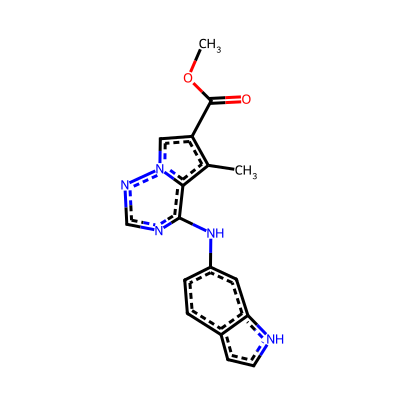 COC(=O)c1cn2ncnc(Nc3ccc4cc[nH]c4c3)c2c1C